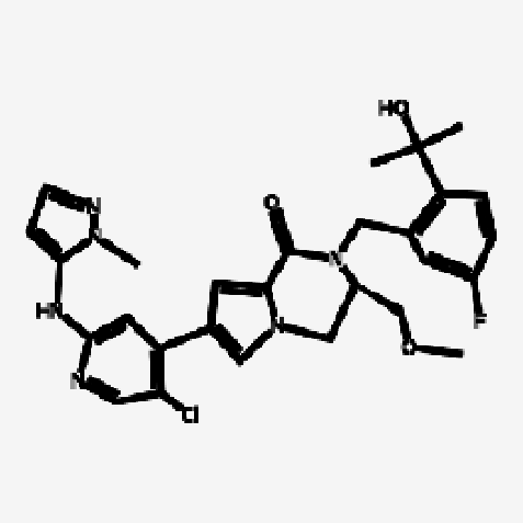 COC[C@H]1Cn2cc(-c3cc(Nc4ccnn4C)ncc3Cl)cc2C(=O)N1Cc1cc(F)ccc1C(C)(C)O